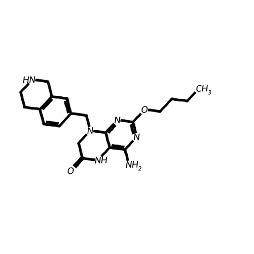 CCCCOc1nc(N)c2c(n1)N(Cc1ccc3c(c1)CNCC3)CC(=O)N2